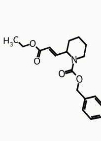 CCOC(=O)C=CC1CCCCN1C(=O)OCc1ccccc1